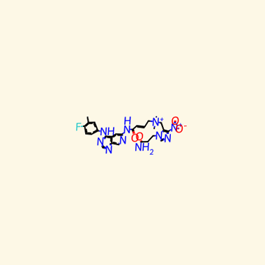 Cc1cc(Nc2ncnc3cnc(NC(=O)/C=C/C[N+](C)(C)Cc4c([N+](=O)[O-])ncn4CCC(N)=O)cc23)ccc1F